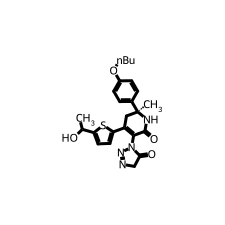 CCCCOc1ccc([C@]2(C)CC(c3ccc(C(C)O)s3)=C(N3N=NCC3=O)C(=O)N2)cc1